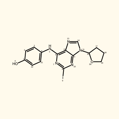 Oc1ccc(Nc2nc(I)nc3c2ncn3C2CCCO2)cc1